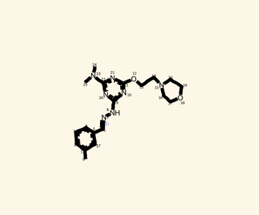 Cc1cccc(/C=N/Nc2nc(OCCN3CCOCC3)nc(N(C)C)n2)c1